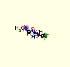 Cc1nc(-c2cccc(C(=O)NCC(C)(C)c3nc(-c4ccc(C(F)(F)F)cc4)cs3)c2)no1